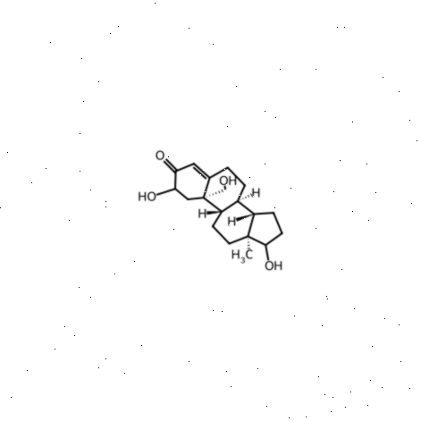 C[C@]12CC[C@H]3[C@@H](CCC4=CC(=O)C(O)C[C@@]43CO)[C@@H]1CCC2O